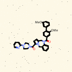 COc1cccc(-c2ccc(C(=O)N3Cc4ccc(C(=O)N5CCN(c6ccccn6)CC5)n4Cc4ccccc43)cc2OC)c1